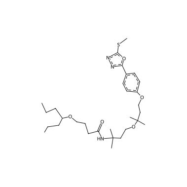 CCCC(CCC)OCCCC(=O)NC(C)(C)CCOC(C)(C)CCOc1ccc(-c2nnc(SC)o2)cc1